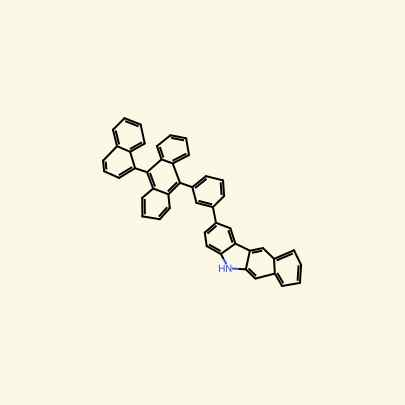 c1cc(-c2ccc3[nH]c4cc5ccccc5cc4c3c2)cc(-c2c3ccccc3c(-c3cccc4ccccc34)c3ccccc23)c1